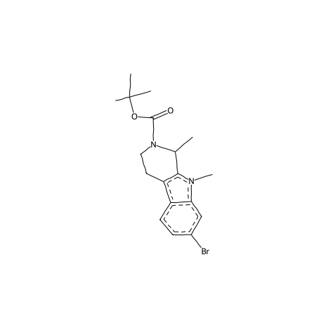 CC1c2c(c3ccc(Br)cc3n2C)CCN1C(=O)OC(C)(C)C